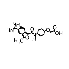 Cc1oc(C(=O)NC2CCC(OCC(=O)O)CC2)c2ccc(C(=N)N)cc12